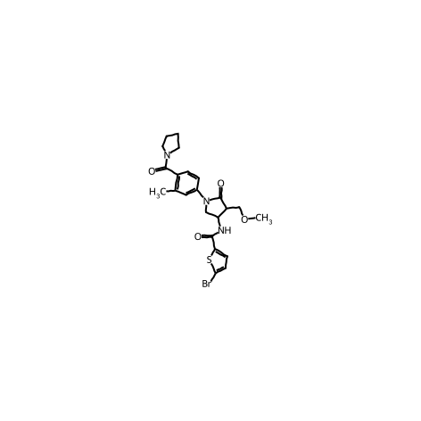 COCC1C(=O)N(c2ccc(C(=O)N3CCCC3)c(C)c2)CC1NC(=O)c1ccc(Br)s1